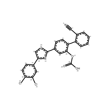 N#Cc1ccccc1-c1ccc(-c2nc(-c3ccc(Cl)c(Cl)c3)cs2)cc1OC(=O)O